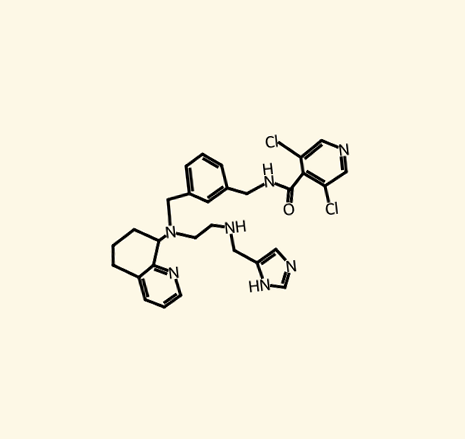 O=C(NCc1cccc(CN(CCNCc2cnc[nH]2)C2CCCc3cccnc32)c1)c1c(Cl)cncc1Cl